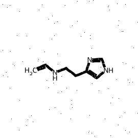 C=CNCCc1c[nH]cn1